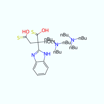 CCCCCCCCC(CC(O)=S)(C(O)=S)c1nc2ccccc2[nH]1.CCCCN(CCCC)CCCC.CCCCN(CCCC)CCCC